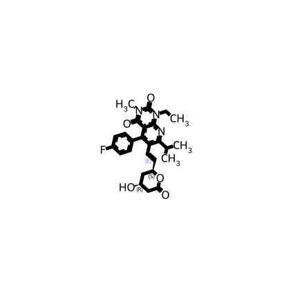 CCn1c(=O)n(C)c(=O)c2c(-c3ccc(F)cc3)c(/C=C/[C@@H]3C[C@@H](O)CC(=O)O3)c(C(C)C)nc21